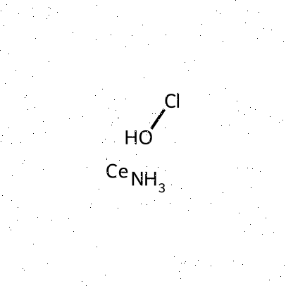 N.OCl.[Ce]